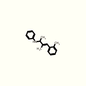 C/C(=C\c1ccccc1C)C(C)Nc1ccccc1